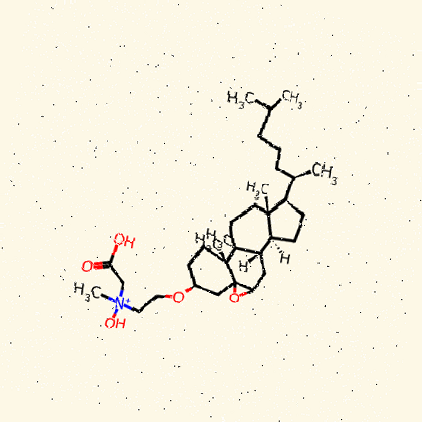 CC(C)CCC[C@@H](C)[C@H]1CC[C@H]2[C@@H]3CC4OC45C[C@@H](OCC[N+](C)(O)CC(=O)O)CC[C@]5(C)[C@@]3(C)CC[C@]12C